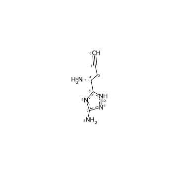 C#CC[C@@H](N)c1nc(N)n[nH]1